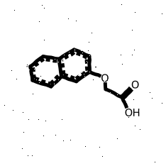 O=C(O)COc1ccc2c[c]ccc2c1